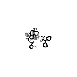 CC(C)[C@@]1(O)[C@@H](OC(=O)c2ccc[nH]2)[C@@]2(O)[C@@]3(C)C[C@]4(O)O[C@@]5([C@H](O)[C@@H](C)CC[C@]35O)[C@@]2(O)[C@@]14C.CN(C)C(=O)C(c1ccccc1)c1ccccc1